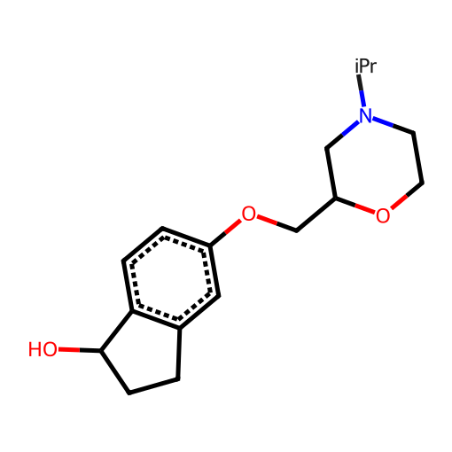 CC(C)N1CCOC(COc2ccc3c(c2)CCC3O)C1